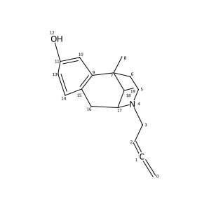 C=C=CCN1CCC2(C)c3cc(O)ccc3CC1C2C